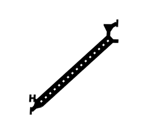 CC1C(C2CC2I)C2C1C1C2C2C1C1C2C2C1C1C2C2C1C1C2C2C1C1C2C2C1C1C2C2C1C1C2C2C1C1C(I)[C@H]21